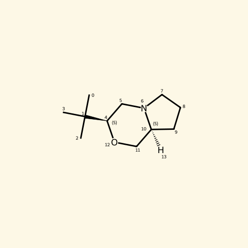 CC(C)(C)[C@H]1CN2CCC[C@H]2CO1